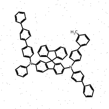 Cc1cccc(-c2ccc(N(c3ccc(-c4ccccc4)cc3)c3ccc4c(c3)C3(c5ccccc5-c5ccccc53)c3cc(N(c5ccccc5)c5ccc(-c6ccc(-c7ccccc7)cc6)cc5)ccc3-4)cc2)c1